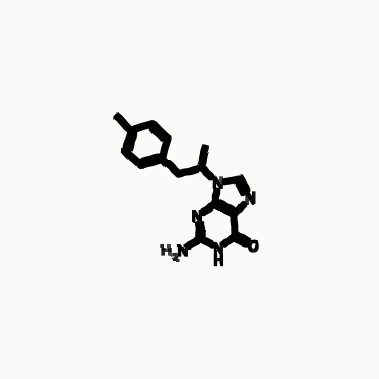 Cc1ccc(CC(C)n2cnc3c(=O)[nH]c(N)nc32)cc1